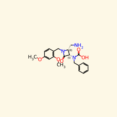 COc1ccc(CN2C(=O)[C@@H](N(Cc3ccccc3)C(=O)O)[C@H]2CN)c(OC)c1